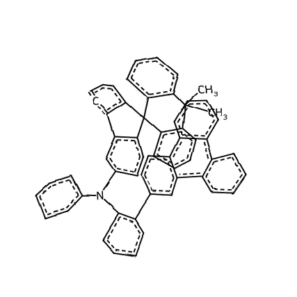 CC1(C)c2ccccc2C2(c3ccccc3-c3cc(N(c4ccccc4)c4ccccc4-c4ccc5c6ccccc6c6ccccc6c5c4)ccc32)c2ccccc21